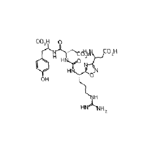 N=C(N)NCCC[C@H](NC(=O)N[C@@H](CC(=O)O)C(=O)NC(Cc1ccc(O)cc1)C(=O)O)c1nc([C@@H](N)CC(=O)O)no1